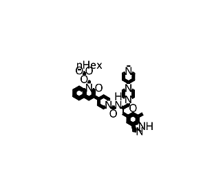 CCCCCCOC(=O)OCn1c(=O)c(C2CCN(C(=O)N[C@H](Cc3cc(C)c4[nH]ncc4c3)C(=O)N3CCN(C4CCN(C)CC4)CC3)CC2)cc2ccccc21